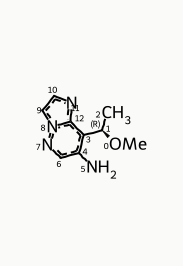 CO[C@H](C)c1c(N)cnn2ccnc12